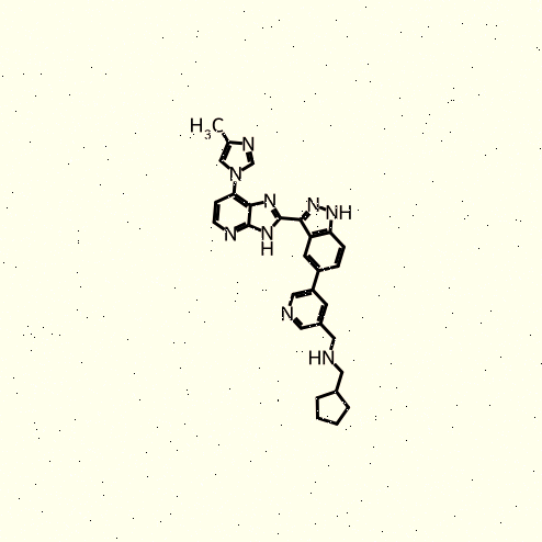 Cc1cn(-c2ccnc3[nH]c(-c4n[nH]c5ccc(-c6cncc(CNCC7CCCC7)c6)cc45)nc23)cn1